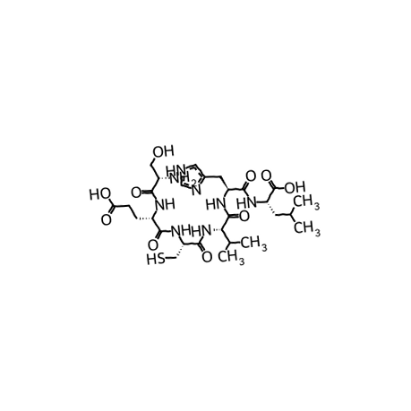 CC(C)C[C@H](NC(=O)[C@H](Cc1c[nH]cn1)NC(=O)[C@@H](NC(=O)[C@H](CS)NC(=O)[C@H](CCC(=O)O)NC(=O)[C@@H](N)CO)C(C)C)C(=O)O